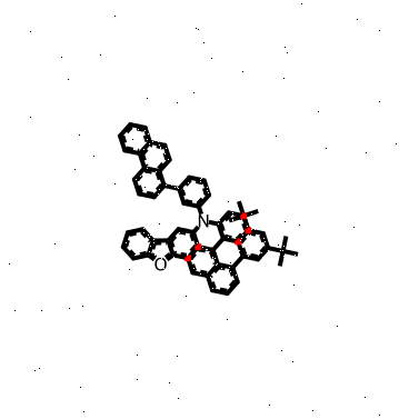 CC(C)(C)c1cc(-c2cccc3cccc(-c4ccccc4N(c4cccc(-c5cccc6c5ccc5ccccc56)c4)c4ccc5oc6ccccc6c5c4)c23)cc(C(C)(C)C)c1